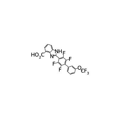 O=C(O)c1cccc2[nH]c(-c3c(F)c(F)c(-c4cccc(OC(F)(F)F)c4)c(F)c3F)nc12